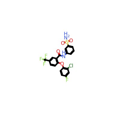 NS(=O)(=O)c1cccc(NC(=O)c2cc(C(F)(F)F)ccc2Oc2ccc(F)cc2Cl)c1